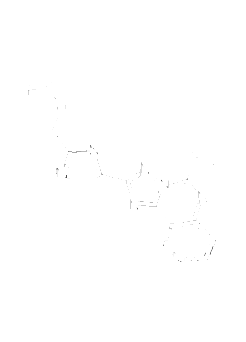 COCc1noc(-c2nc3c4ccccc4nc(N)n3n2)n1